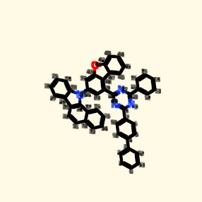 c1ccc(-c2ccc(-c3nc(-c4ccccc4)nc(-c4cc(-n5c6ccccc6c6ccc7ccccc7c65)cc5oc6ccccc6c45)n3)cc2)cc1